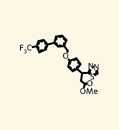 COC(=O)CC(c1ccc(OCc2cccc(-c3ccc(C(F)(F)F)cc3)c2)cc1)c1nncs1